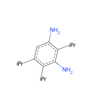 CC(C)c1cc(N)c(C(C)C)c(N)c1C(C)C